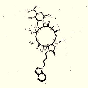 CC[C@H]1OC(=O)[C@H](C)C(=O)[C@H](C)[C@@H](OC2O[C@H](C)C[C@H](N(C)C)[C@H]2O)[C@@](C)(OC)C[C@@H](C)C(=O)[C@H](C)[C@@H]2[C@@H]1OC(=O)N2CCCCn1ccc2ccccc21